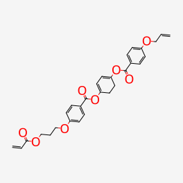 C=CCOc1ccc(C(=O)OC2=CC=C(OC(=O)c3ccc(OCCCOC(=O)C=C)cc3)CC2)cc1